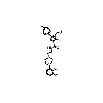 CCCn1c(-c2ccc(C)cc2)cc(C(=O)NCCN2CCN(c3cccc(Cl)c3Cl)CC2)c1C